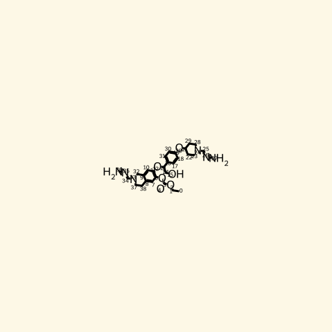 CCOC(=O)Oc1cc2c(cc1OC(CO)c1ccc(OC3CCN(C=NN)CC3)cc1)CN(C=NN)CC2